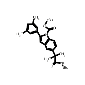 Cc1cc(C)cc(-c2cc3cc(C(C)(C)C(=O)NC(C)(C)C)ccc3n2C(=O)OC(C)(C)C)c1